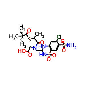 CC(SC(=O)C(C)(C)C)C(=O)N(CC(=O)O)CC1Nc2cc(Cl)c(S(N)(=O)=O)cc2S(=O)(=O)N1